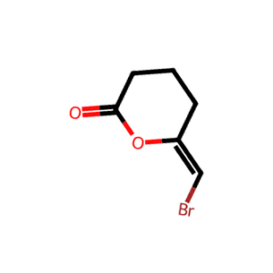 O=C1CCCC(=CBr)O1